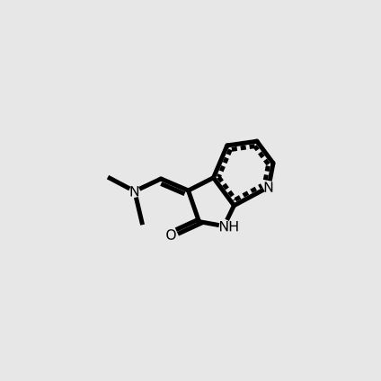 CN(C)C=C1C(=O)Nc2ncccc21